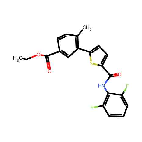 CCOC(=O)c1ccc(C)c(-c2ccc(C(=O)Nc3c(F)cccc3F)s2)c1